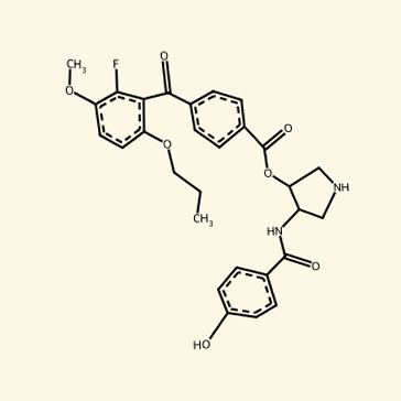 CCCOc1ccc(OC)c(F)c1C(=O)c1ccc(C(=O)OC2CNCC2NC(=O)c2ccc(O)cc2)cc1